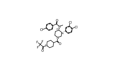 CN(C(=O)c1ccc(Cl)cc1)[C@@H]1CCN(C(=O)C2CCN(C(=O)C(F)(F)F)CC2)C[C@H]1c1ccc(Cl)c(Cl)c1